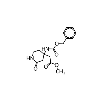 COC(=O)CC1(NC(=O)OCc2ccccc2)CCNC(=O)C1